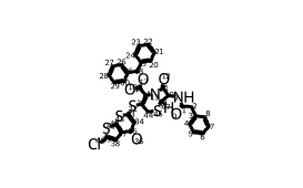 O=C(Cc1ccccc1)NC1C(=O)N2C(C(=O)OC(c3ccccc3)c3ccccc3)=C(Sc3cc(=O)c4cc(Cl)sc4s3)CS[C@@H]12